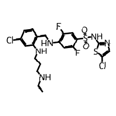 CCNCCCNc1cc(Cl)ccc1CNc1cc(F)c(S(=O)(=O)Nc2ncc(Cl)s2)cc1F